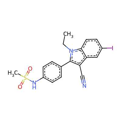 CCn1c(-c2ccc(NS(C)(=O)=O)cc2)c(C#N)c2cc(I)ccc21